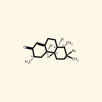 CC(=O)[C@@]1(C)CC[C@H]2[C@@H](CCC3=CC(=O)[C@@H](C)C[C@@H]32)[C@@H]1C